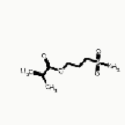 C=C(C)C(=O)OCCCS(N)(=O)=O